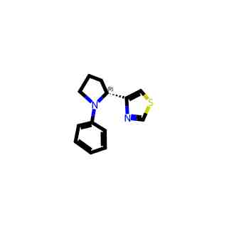 c1ccc(N2CCC[C@@H]2c2cscn2)cc1